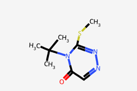 CSc1nncc(=O)n1C(C)(C)C